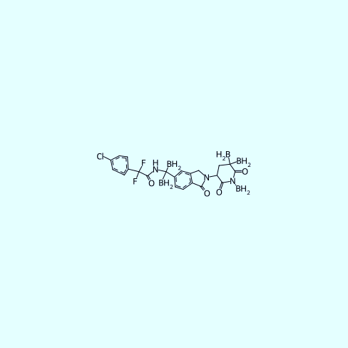 BN1C(=O)C(N2Cc3cc(C(B)(B)NC(=O)C(F)(F)c4ccc(Cl)cc4)ccc3C2=O)CC(B)(B)C1=O